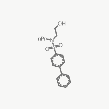 CCCN(CCO)S(=O)(=O)c1ccc(-c2ccccc2)cc1